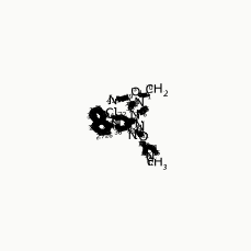 C=CC(=O)N1CCN(c2nc(OCC3CCN(C)C3)nc3c2CCN(c2cccc4cccc(Cl)c24)C3)C[C@@H]1CC#N